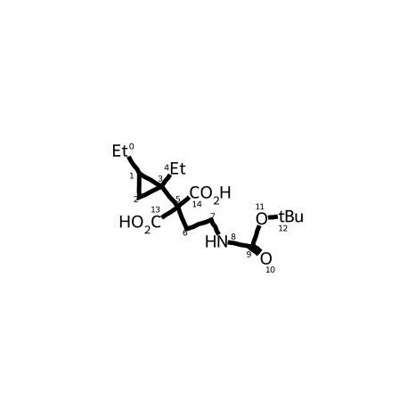 CCC1CC1(CC)C(CCNC(=O)OC(C)(C)C)(C(=O)O)C(=O)O